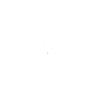 [SiH3]C1(C23CC4CC(CC(C4)C2)C3)CCCCO1